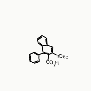 CCCCCCCCCCc1cc2ccccc2c(-c2ccccc2)c1C(=O)O